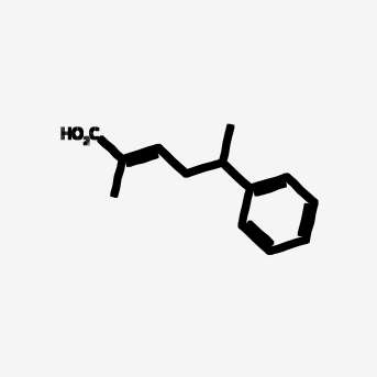 CC(=CCC(C)c1ccccc1)C(=O)O